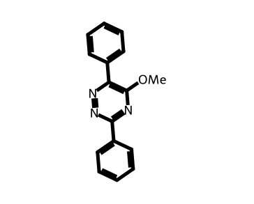 COc1nc(-c2ccccc2)nnc1-c1ccccc1